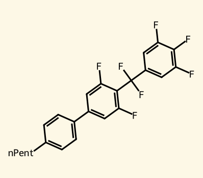 CCCCCc1ccc(-c2cc(F)c(C(F)(F)c3cc(F)c(F)c(F)c3)c(F)c2)cc1